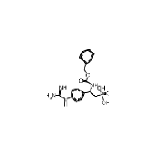 N=C(N)Nc1ccc(C(CP(=O)(O)O)NC(=O)OCc2ccccc2)cc1